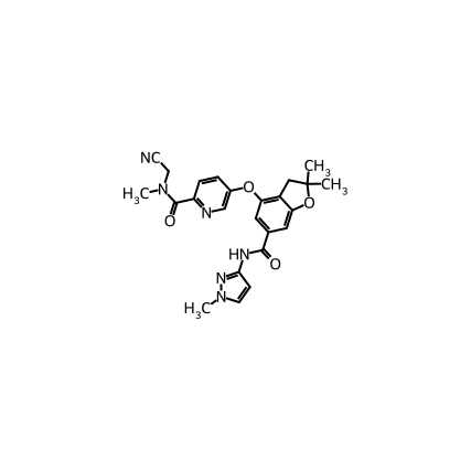 CN(CC#N)C(=O)c1ccc(Oc2cc(C(=O)Nc3ccn(C)n3)cc3c2CC(C)(C)O3)cn1